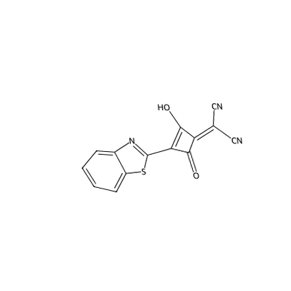 N#CC(C#N)=C1C(=O)C(c2nc3ccccc3s2)=C1O